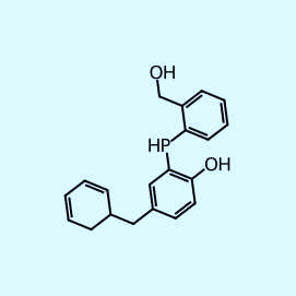 OCc1ccccc1Pc1cc(CC2C=CC=CC2)ccc1O